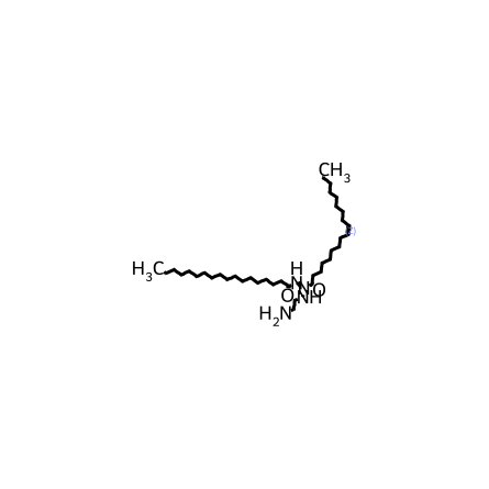 CCCCCCCC/C=C\CCCCCCCC(=O)N(NCCN)NC(=O)CCCCCCCCCCCCCCCCC